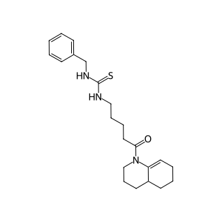 O=C(CCCCNC(=S)NCc1ccccc1)N1CCCC2CCCC=C21